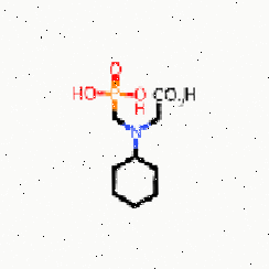 O=C(O)CN(CP(=O)(O)O)C1CCCCC1